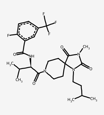 CC(C)CCN1C(=O)N(C)C(=O)C12CCN(C(=O)[C@H](NC(=O)c1cc(C(F)(F)F)ccc1F)C(C)C)CC2